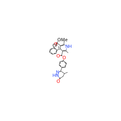 COC(=O)C1=C(C)NC(C)=C(C(=O)Oc2ccc(C3=NNC(=O)CC3C)cc2)C1c1ccccc1C(F)(F)F